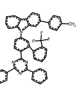 Cc1ccc(-c2ccc3c4ccccc4n(-c4ccc(-c5nc(-c6ccccc6)nc(-c6ccccc6)n5)c(-c5ccccc5C(F)(F)F)c4)c3c2)cc1